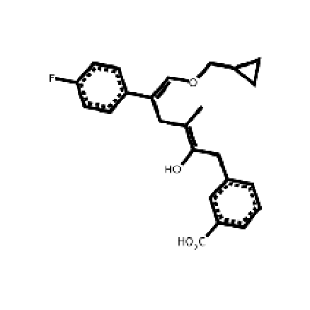 CC(CC(=COCC1CC1)c1ccc(F)cc1)=C(O)Cc1cccc(C(=O)O)c1